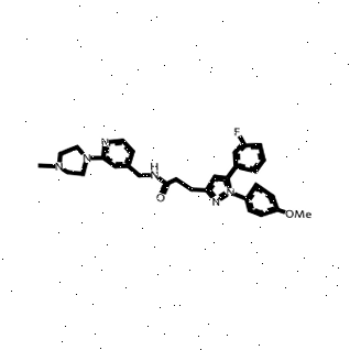 COc1ccc(-n2nc(CCC(=O)NCc3ccnc(N4CCN(C)CC4)c3)cc2-c2cccc(F)c2)cc1